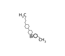 CCCCCC1CCC(C2CCC(Br)(c3ccc(CC)cc3)CC2)CC1